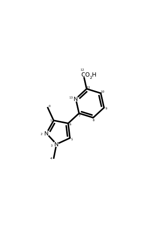 Cc1nn(C)cc1-c1cccc(C(=O)O)n1